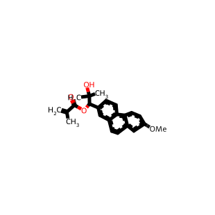 C=C(C)C(=O)OC(c1ccc2c(ccc3cc(OC)ccc32)c1)C(C)(C)O